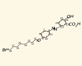 O=C(O)c1cc(/N=N/c2ccc(OCCCCCCCCBr)cc2)ccc1O